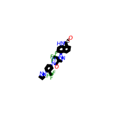 O=C=c1[nH]c2ccc(-n3ncc(C(=O)Nc4ccc(-n5cccn5)c(C(F)(F)F)c4)c3C(F)(F)F)c3cccc1c23